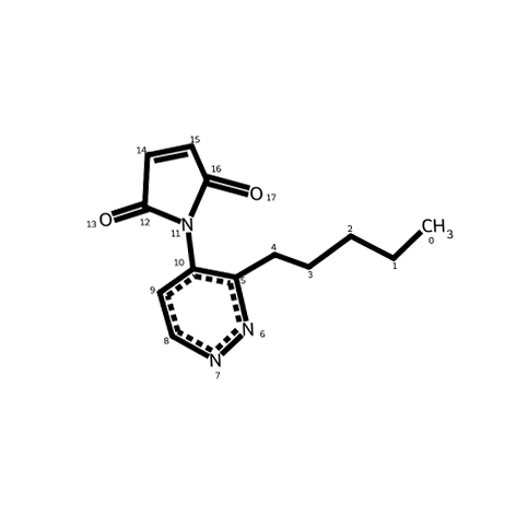 CCCCCc1nnccc1N1C(=O)C=CC1=O